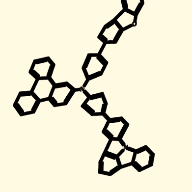 c1ccc2c(c1)oc1cc(-c3ccc(N(c4ccc(-c5ccc6c(c5)c5cccc7c8ccccc8n6c75)cc4)c4ccc5c6ccccc6c6ccccc6c5c4)cc3)ccc12